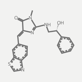 CN1C(=O)/C(=C/c2ccc3ncsc3c2)N=C1NC[C@H](O)c1ccccc1